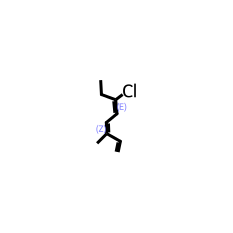 C=C/C(C)=C\C=C(\Cl)CC